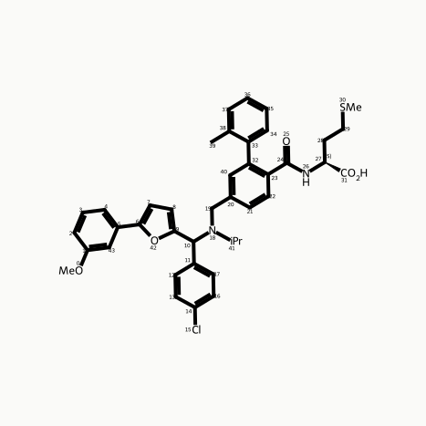 COc1cccc(-c2ccc(C(c3ccc(Cl)cc3)N(Cc3ccc(C(=O)N[C@@H](CCSC)C(=O)O)c(-c4ccccc4C)c3)C(C)C)o2)c1